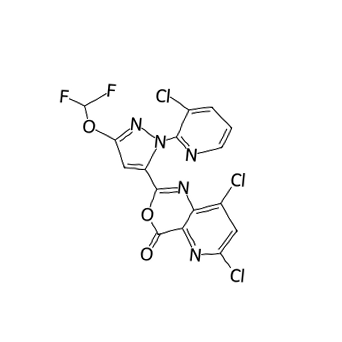 O=c1oc(-c2cc(OC(F)F)nn2-c2ncccc2Cl)nc2c(Cl)cc(Cl)nc12